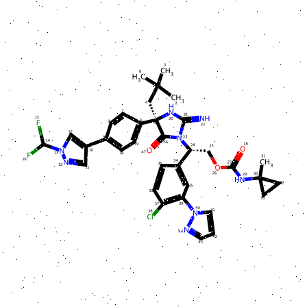 CC(C)(C)C[C@]1(c2ccc(-c3cnn(C(F)F)c3)cc2)NC(=N)N([C@H](COC(=O)NC2(C)CC2)c2ccc(Cl)c(-n3cccn3)c2)C1=O